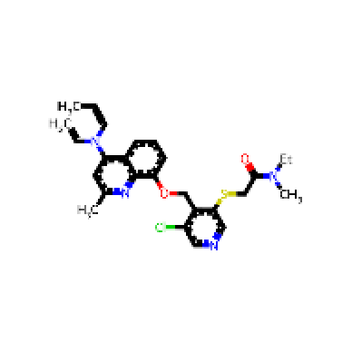 C=CN(/C=C\C)c1cc(C)nc2c(OCc3c(Cl)cncc3SCC(=O)N(C)CC)cccc12